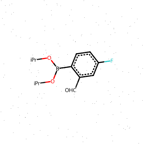 CC(C)OB(OC(C)C)c1ccc(F)cc1C=O